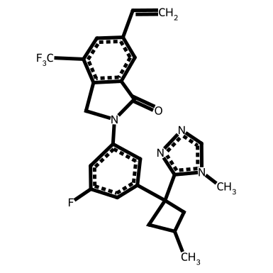 C=Cc1cc2c(c(C(F)(F)F)c1)CN(c1cc(F)cc(C3(c4nncn4C)CC(C)C3)c1)C2=O